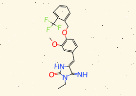 CCN1C(=N)C(=Cc2ccc(OCc3ccccc3C(F)(F)F)c(OC)c2)NC1=O